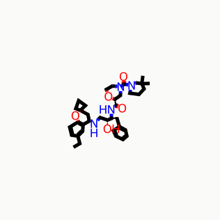 CCc1ccc2c(c1)[C@@H](NC[C@@H](O)[C@H](Cc1ccccc1)NC(=O)[C@@H]1CN(C(=O)N3CCCC(C)(C)C3)CCO1)CC1(CCC1)O2